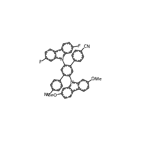 COc1ccc2c3ccc(OC)cc3n(-c3cc(-c4ccc(C#N)cc4)c(-n4c5cc(F)ccc5c5ccc(F)cc54)cc3-c3ccc(C#N)cc3)c2c1